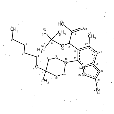 CCCCCOC1(C)CCN(c2c(C(OC(C)(C)C)C(=O)O)c(C)nc3cc(Br)nn23)CC1